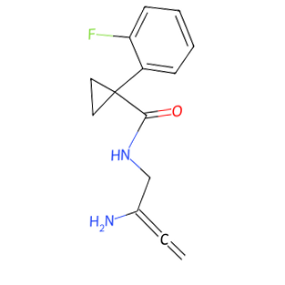 C=C=C(N)CNC(=O)C1(c2ccccc2F)CC1